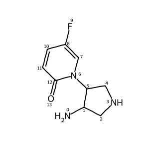 NC1CNCC1n1cc(F)ccc1=O